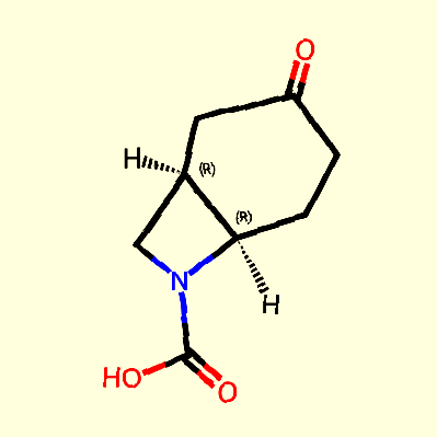 O=C1CC[C@@H]2[C@H](C1)CN2C(=O)O